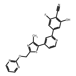 Cc1nc(COc2ncccn2)sc1-c1ccnc(-c2cc(O)c(C#N)c(F)c2)c1